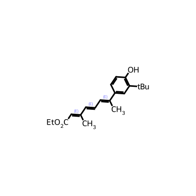 CCOC(=O)/C=C(C)/C=C/C=C(\C)c1ccc(O)c(C(C)(C)C)c1